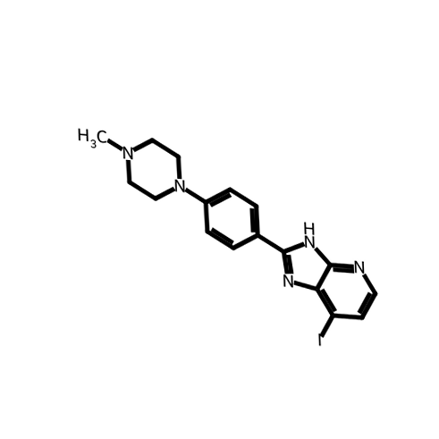 CN1CCN(c2ccc(-c3nc4c(I)ccnc4[nH]3)cc2)CC1